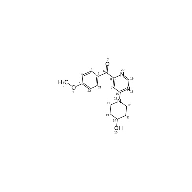 COc1ccc(C(=O)c2cc(N3CCC(O)CC3)ncn2)cc1